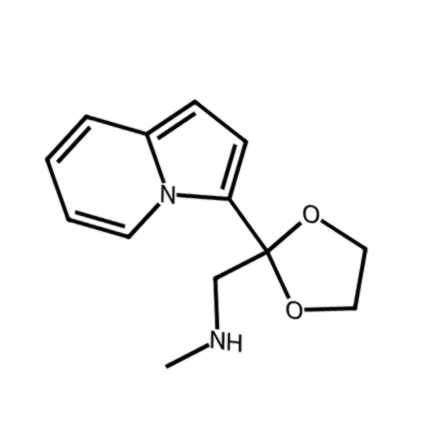 CNCC1(c2ccc3ccccn23)OCCO1